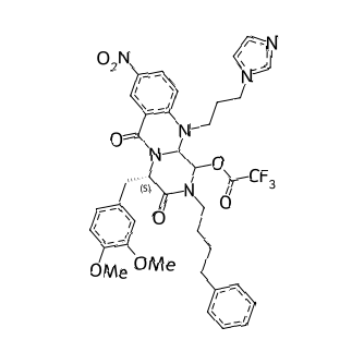 COc1ccc(C[C@H]2C(=O)N(CCCCc3ccccc3)C(OC(=O)C(F)(F)F)C3N(CCCn4ccnc4)c4ccc([N+](=O)[O-])cc4C(=O)N32)cc1OC